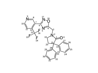 O=C1N(Cc2nc(-c3cnccc3C(F)(F)F)no2)CCC1(c1ccccc1)c1ccccc1